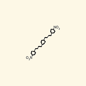 O=[N+]([O-])c1ccc(C=CC=Cc2ccc(C=CC=Cc3ccc([N+](=O)[O-])cc3)cc2)cc1